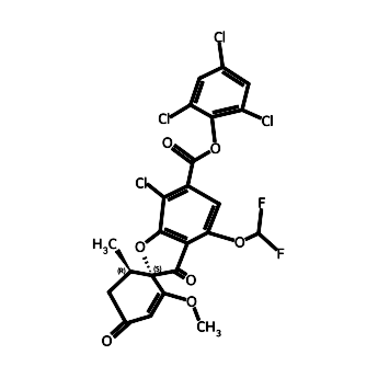 COC1=CC(=O)C[C@@H](C)[C@]12Oc1c(Cl)c(C(=O)Oc3c(Cl)cc(Cl)cc3Cl)cc(OC(F)F)c1C2=O